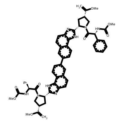 C=C(OC)[C@H]1C[C@@H](c2nc3ccc4cc(-c5ccc6c(ccc7nc([C@@H]8C[C@H](C(=C)OC)CN8C(=O)[C@H](NC(=O)OC)c8ccccc8)[nH]c76)c5)ccc4c3[nH]2)N(C(=O)[C@@H](NC(=O)OC)C(C)C)C1